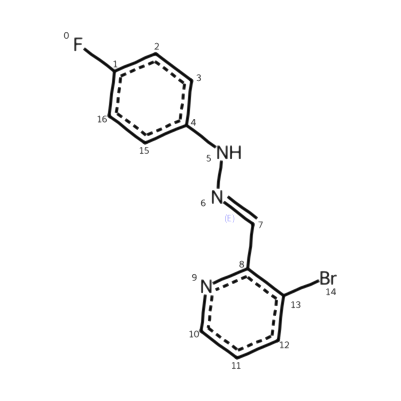 Fc1ccc(N/N=C/c2ncccc2Br)cc1